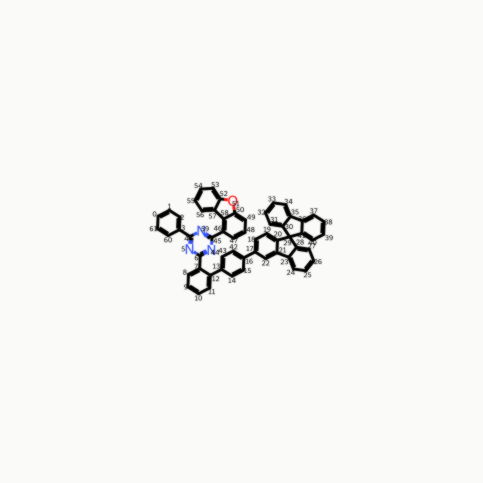 c1ccc(-c2nc(-c3ccccc3-c3ccc(-c4ccc5c(c4)-c4ccccc4C54c5ccccc5-c5ccccc54)cc3)nc(-c3cccc4oc5ccccc5c34)n2)cc1